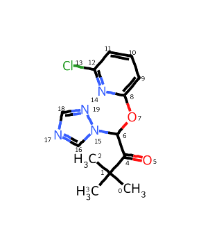 CC(C)(C)C(=O)C(Oc1cccc(Cl)n1)n1cncn1